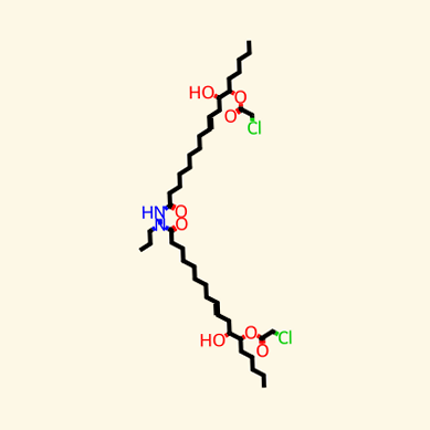 CCCCCC(OC(=O)CCl)C(O)CC=CCCCCCCCC(=O)NN(CCC)C(=O)CCCCCCCC=CCC(O)C(CCCCC)OC(=O)CCl